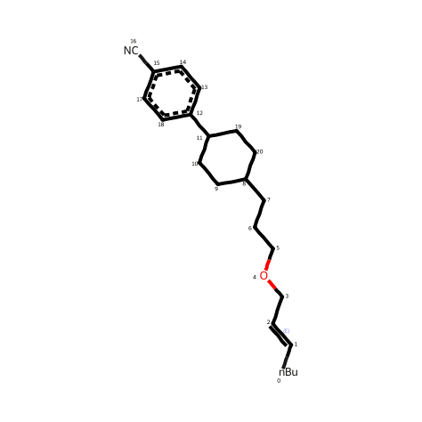 CCCC/C=C/COCCCC1CCC(c2ccc(C#N)cc2)CC1